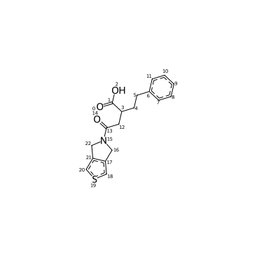 O=C(O)C(CCc1ccccc1)CC(=O)N1Cc2cscc2C1